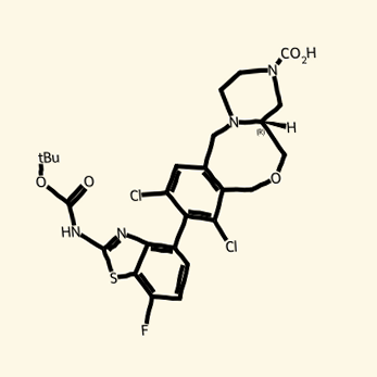 CC(C)(C)OC(=O)Nc1nc2c(-c3c(Cl)cc4c(c3Cl)COC[C@H]3CN(C(=O)O)CCN3C4)ccc(F)c2s1